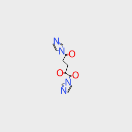 O=C(CCC(=O)n1ccnc1)C(=O)n1ccnc1